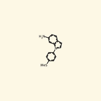 CSc1ccc(-n2ccc3ccc(N)cc32)cc1